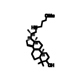 COCCCNC[C@@H](C)[C@H]1CC=C2C3=C(CC[C@@]21C)[C@@]1(C)CCC(O)C(C)(C)C1CC3